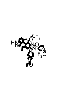 C=CC(=O)N1CC2(CCN(c3nc(OC4CCN(CC(F)(F)F)CC4)nc4c(COCC(F)(F)F)c(-c5c(C)ccc6[nH]ncc56)c(C=C)cc34)CC2)C1